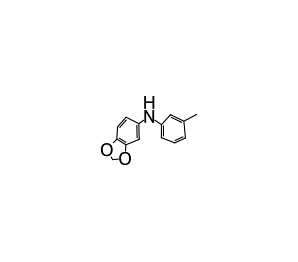 Cc1cccc(Nc2ccc3c(c2)OCO3)c1